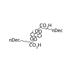 CCCCCCCCCCCCCCCCC(CC(=O)Oc1c2ccccc2c(OC(=O)CC(CCCCCCCCCCCCCCCC)C(=O)O)c2c(C)cccc12)C(=O)O